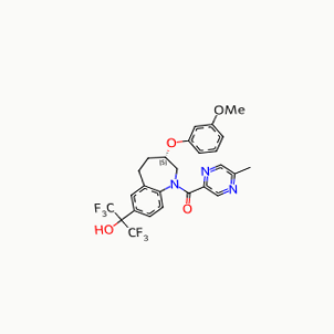 COc1cccc(O[C@H]2CCc3cc(C(O)(C(F)(F)F)C(F)(F)F)ccc3N(C(=O)c3cnc(C)cn3)C2)c1